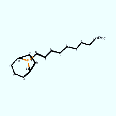 CCCCCCCCCCCCCCCCCCP1C2CCCC1CC2